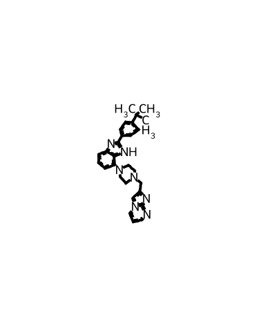 CC(C)(C)c1ccc(-c2nc3cccc(N4CCN(Cc5cn6cccnc6n5)CC4)c3[nH]2)cc1